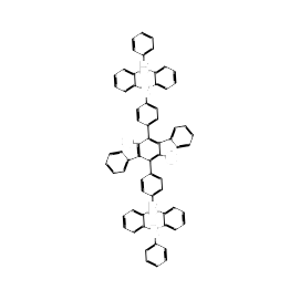 c1ccc(B2c3ccccc3B(c3ccc(-c4c5oc6ccccc6c5c(-c5ccc(B6c7ccccc7B(c7ccccc7)c7ccccc76)cc5)c5oc6ccccc6c45)cc3)c3ccccc32)cc1